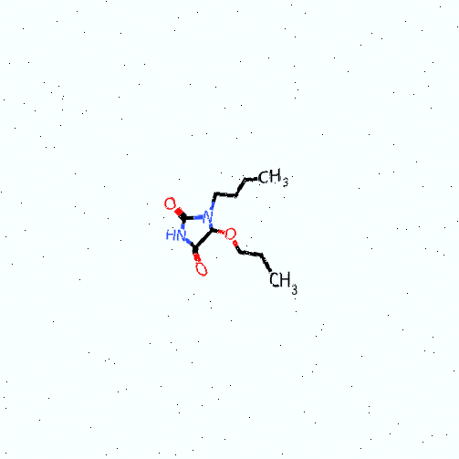 CCCCN1C(=O)NC(=O)C1OCCC